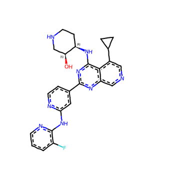 O[C@H]1CNCC[C@H]1Nc1nc(-c2ccnc(Nc3ncccc3F)c2)nc2cncc(C3CC3)c12